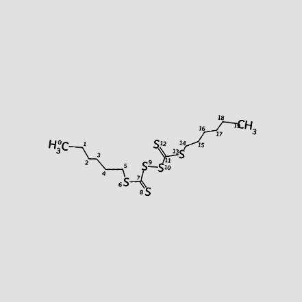 CCCCCCSC(=S)SSC(=S)SCCCCCC